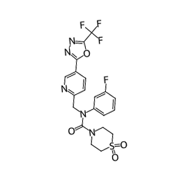 O=C(N1CCS(=O)(=O)CC1)N(Cc1ccc(-c2nnc(C(F)(F)F)o2)cn1)c1cccc(F)c1